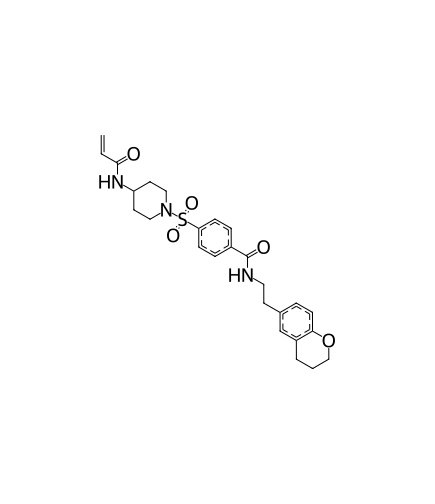 C=CC(=O)NC1CCN(S(=O)(=O)c2ccc(C(=O)NCCc3ccc4c(c3)CCCO4)cc2)CC1